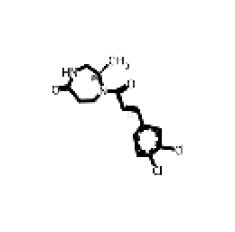 C[C@@H]1CNC(=O)CCN1C(=O)/C=C/c1ccc(Cl)c(Cl)c1